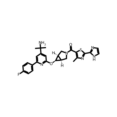 Cc1nc(-c2ncc[nH]2)sc1C(=O)N1C[C@@H]2[C@H](C1)[C@@H]2Oc1cc(C(C)(C)N)cc(-c2ccc(F)cc2)n1